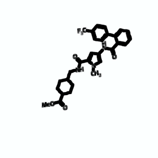 COC(=O)C1CCC(CNC(=O)c2cc(NC(=O)c3ccccc3-c3ccc(C(F)(F)F)cc3)cn2C)CC1